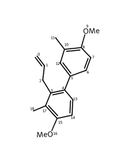 C=CCc1c(-c2ccc(OC)c(C)c2)ccc(OC)c1C